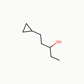 CCC(O)CCC1CC1